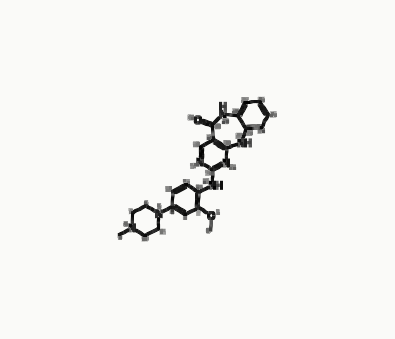 COc1cc(N2CCN(C)CC2)ccc1Nc1ncc2c(n1)Nc1ccccc1NC2=O